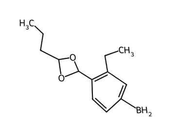 Bc1ccc(C2OC(CCC)O2)c(CC)c1